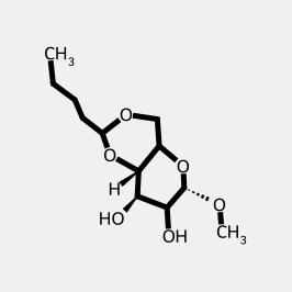 CCCCC1OCC2O[C@H](OC)C(O)[C@@H](O)[C@@H]2O1